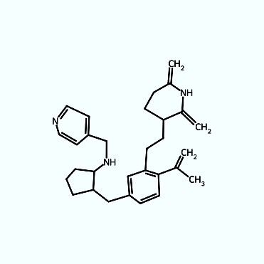 C=C1CCC(CCc2cc(CC3CCCC3NCc3ccncc3)ccc2C(=C)C)C(=C)N1